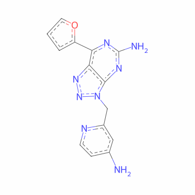 Nc1ccnc(Cn2nnc3c(-c4ccco4)nc(N)nc32)c1